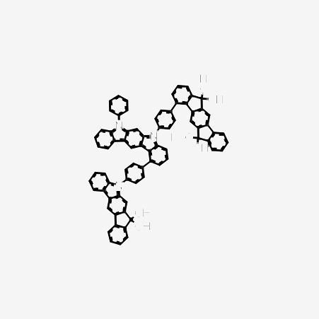 CC1(C)c2ccccc2-c2cc3c(cc21)-c1c(-c2ccc(-n4c5cc6c(cc5c5c(-c7ccc(-n8c9ccccc9c9cc%10c(cc98)C(C)(C)c8ccccc8-%10)cc7)cccc54)c4ccccc4n6-c4ccccc4)cc2)cccc1C3(C)C